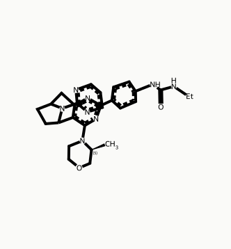 CCNC(=O)Nc1ccc(-c2nc3c(c(N4CCOC[C@@H]4C)n2)C2CCC(C3)N2c2ncccn2)cc1